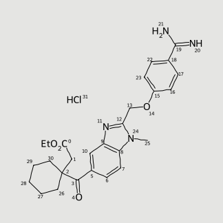 CCOC(=O)CC1(C(=O)c2ccc3c(c2)nc(COc2ccc(C(=N)N)cc2)n3C)CCCCC1.Cl